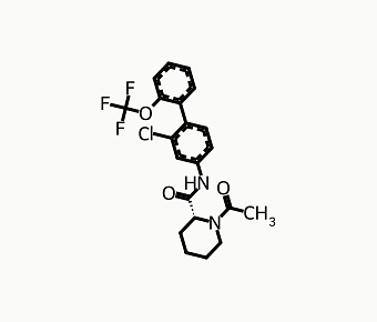 CC(=O)N1CCCC[C@@H]1C(=O)Nc1ccc(-c2ccccc2OC(F)(F)F)c(Cl)c1